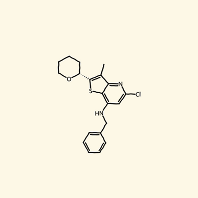 Cc1c([C@H]2CCCCO2)sc2c(NCc3ccccc3)cc(Cl)nc12